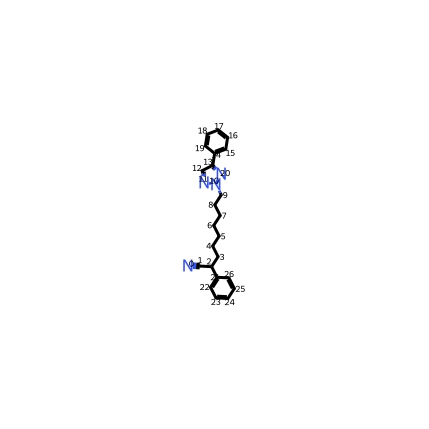 N#CC(CCCCCCCn1ncc(-c2ccccc2)n1)c1ccccc1